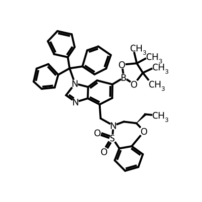 CC[C@@H]1CN(Cc2cc(B3OC(C)(C)C(C)(C)O3)cc3c2ncn3C(c2ccccc2)(c2ccccc2)c2ccccc2)S(=O)(=O)c2ccccc2O1